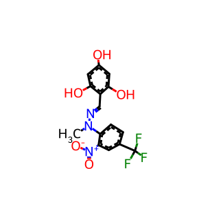 CN(N=Cc1c(O)cc(O)cc1O)c1ccc(C(F)(F)F)cc1[N+](=O)[O-]